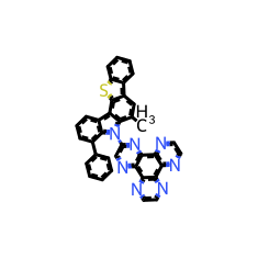 Cc1cc2c3ccccc3sc2c2c3cccc(-c4ccccc4)c3n(-c3cnc4c5nccnc5c5nccnc5c4n3)c12